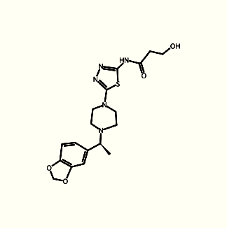 C[C@@H](c1ccc2c(c1)OCO2)N1CCN(c2nnc(NC(=O)CCO)s2)CC1